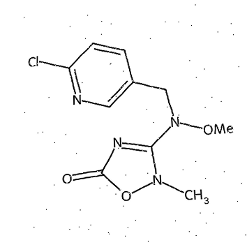 CON(Cc1ccc(Cl)nc1)c1nc(=O)on1C